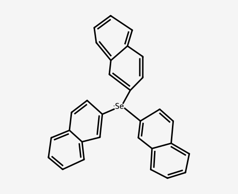 c1ccc2cc([Se](c3ccc4ccccc4c3)c3ccc4ccccc4c3)ccc2c1